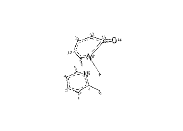 Cc1[c]cccn1.Cn1c[c]ccc1=O